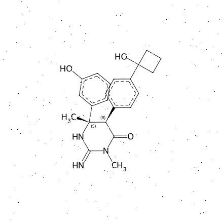 CN1C(=N)N[C@](C)(c2cccc(O)c2)[C@@H](c2ccc(C3(O)CCC3)cc2)C1=O